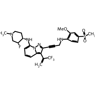 C=C(c1c(C#CCNc2ccc(S(C)(=O)=O)cc2OC)nn2c(N[C@@H]3CCN(C)C[C@@H]3F)cccc12)C(F)(F)F